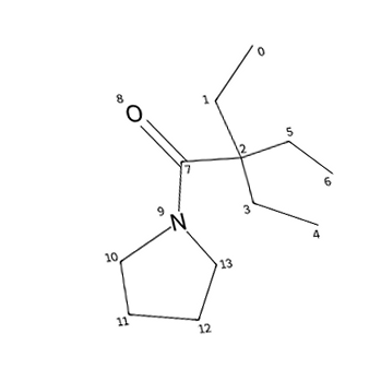 CCC(CC)(CC)C(=O)N1CCCC1